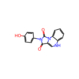 O=c1c2c[nH]c3ccccc3n-2c(=O)n1-c1ccc(O)cc1